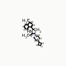 C=C(N/C(=C\C)CN1CCN(C2CCC2)CC1)c1ccc(C)c2ccccc12